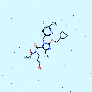 CNC(=O)N(CCCO)C(=O)c1c(C)nc(OCC2CCCC2)n1Cc1ccc(C)nc1